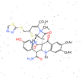 CCN1c2cc(OC(C)=O)c(OC(C)=O)cc2C(=O)C(C(N)=O)([C@H]2C(=O)[N+]3(C)C(C(=O)O)=CC(CSc4nncs4)S[C@@H]23)C1C(C(N)=O)c1ccc(O)cc1